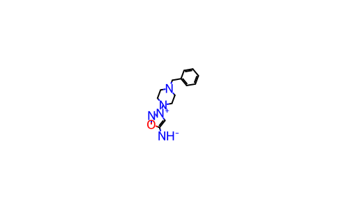 [NH-]c1c[n+](N2CCN(Cc3ccccc3)CC2)no1